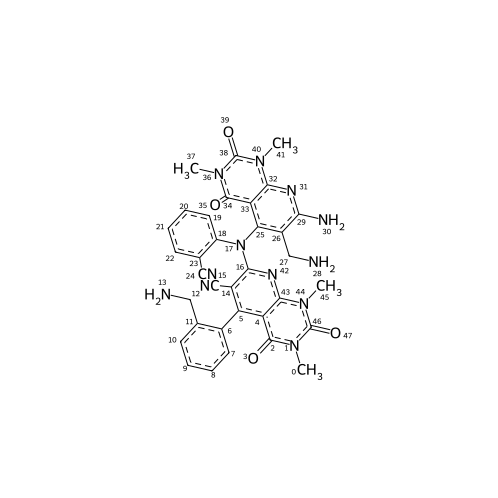 Cn1c(=O)c2c(-c3ccccc3CN)c(C#N)c(N(c3ccccc3C#N)c3c(CN)c(N)nc4c3c(=O)n(C)c(=O)n4C)nc2n(C)c1=O